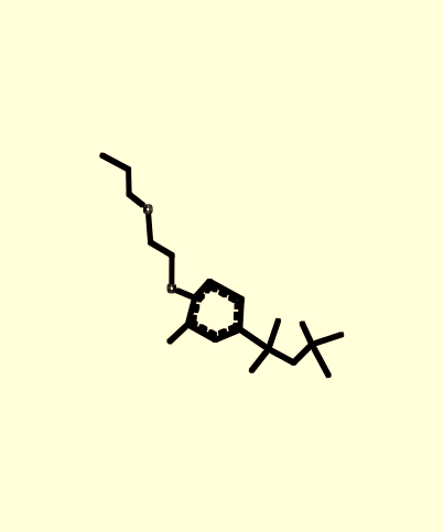 CCCOCCOc1ccc(C(C)(C)CC(C)(C)C)cc1C